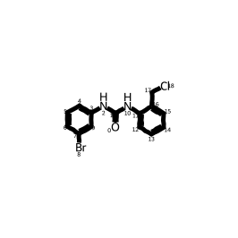 O=C(Nc1cccc(Br)c1)Nc1ccccc1CCl